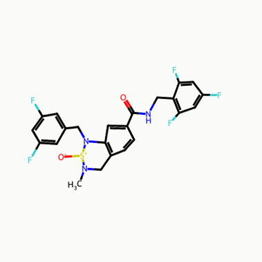 CN1Cc2ccc(C(=O)NCc3c(F)cc(F)cc3F)cc2N(Cc2cc(F)cc(F)c2)[S+]1[O-]